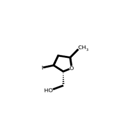 CC1CC(I)[C@@H](CO)O1